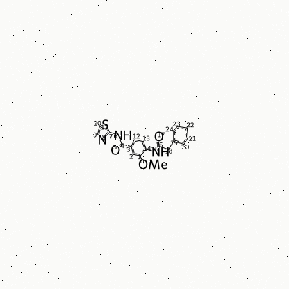 COc1cc(C(=O)Nc2nccs2)ccc1NC(=O)Cc1ccccc1